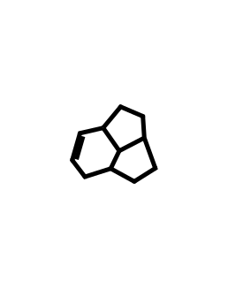 C1=CC2CCC3CCC(C1)C23